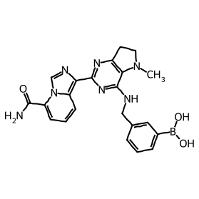 CN1CCc2nc(-c3ncn4c(C(N)=O)cccc34)nc(NCc3cccc(B(O)O)c3)c21